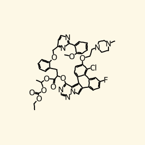 CCOC(=O)OC(C)OC(=O)C(Cc1ccccc1OCc1ccnc(-c2ccccc2OC)n1)Oc1ncnn2cc3c4ccc(F)cc4c4c(Cl)c(OCCN5CCN(C)CC5)ccc4c3c12